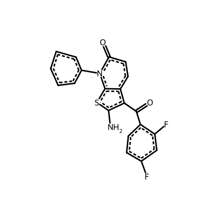 Nc1sc2c(ccc(=O)n2-c2ccccc2)c1C(=O)c1ccc(F)cc1F